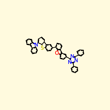 C1=CC2c3cc(-c4cccc5c4oc4ccc(-c6nc(-c7ccccc7)nc(-c7ccccc7)n6)cc45)ccc3SC2C(n2c3ccccc3c3ccccc32)=C1